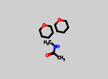 C1CCOCC1.C1CCOCC1.CNC(C)=O